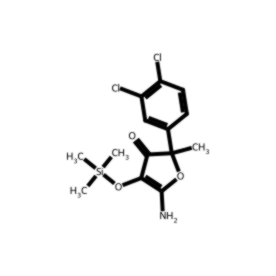 CC1(c2ccc(Cl)c(Cl)c2)OC(N)=C(O[Si](C)(C)C)C1=O